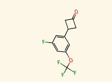 O=C1CC(c2cc(F)cc(OC(F)(F)F)c2)C1